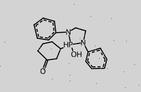 O=C1CCCC([PH]2(O)N(c3ccccc3)CCN2c2ccccc2)C1